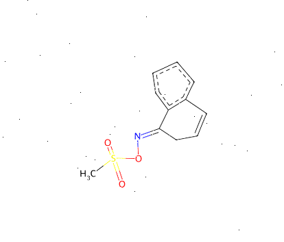 CS(=O)(=O)ON=C1CC=Cc2ccccc21